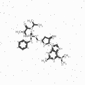 CC(C)OC(=O)[C@H](C)N[P@](=S)(OC[C@@H]1CC(=N)[C@H](n2cnc3c(N(C)C)nc(N)nc32)O1)Oc1ccccc1